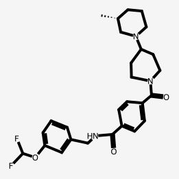 C[C@@H]1CCCN(C2CCN(C(=O)c3ccc(C(=O)NCc4cccc(OC(F)F)c4)cc3)CC2)C1